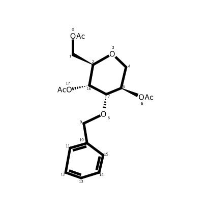 CC(=O)OC[C@H]1OC[C@@H](OC(C)=O)[C@H](OCc2ccccc2)[C@@H]1OC(C)=O